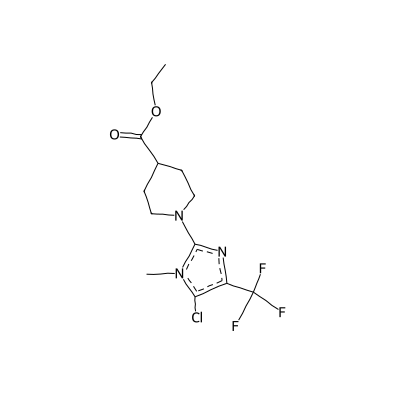 CCOC(=O)C1CCN(c2nc(C(F)(F)F)c(Cl)n2C)CC1